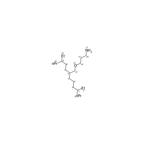 CCCC(CC)CCCC(CCC(CC)CCC)COCCCN